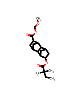 CCC(C)(C)C(=O)OC1CC2CC1C1C3CC(C(=O)OCOC)C(C3)C21